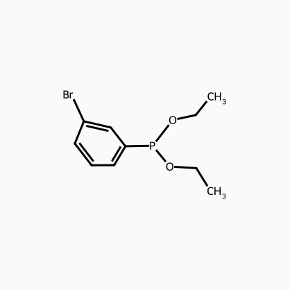 CCOP(OCC)c1cccc(Br)c1